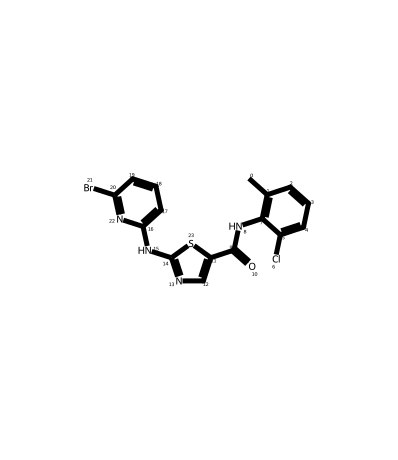 Cc1cccc(Cl)c1NC(=O)c1cnc(Nc2cccc(Br)n2)s1